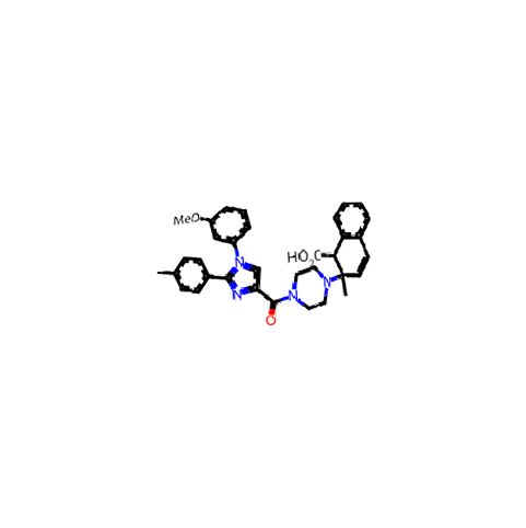 COc1cccc(-n2cc(C(=O)N3CCN(C4(C)C=Cc5ccccc5C4C(=O)O)CC3)nc2-c2ccc(C)cc2)c1